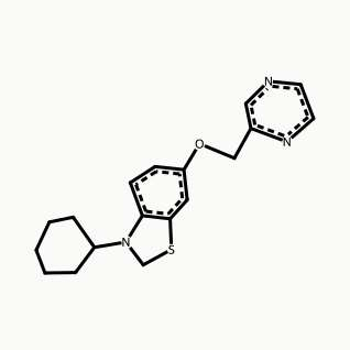 c1cnc(COc2ccc3c(c2)SCN3C2CCCCC2)cn1